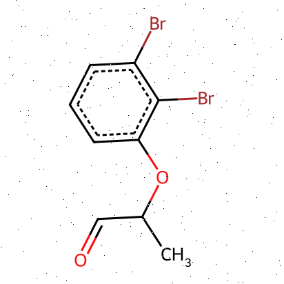 CC(C=O)Oc1cccc(Br)c1Br